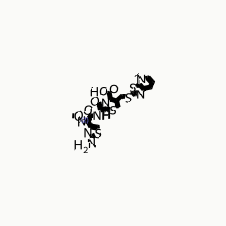 CO/N=C(\C(=O)NC1C(=O)N2C(C(=O)O)=C(CSC3=NC4=CC=CN(C)C4S3)CS[C@H]12)c1csc(N)n1